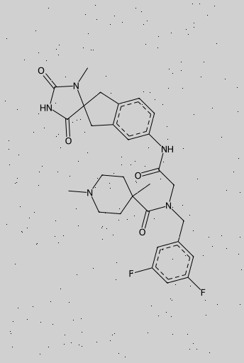 CN1CCC(C)(C(=O)N(CC(=O)Nc2ccc3c(c2)CC2(C3)C(=O)NC(=O)N2C)Cc2cc(F)cc(F)c2)CC1